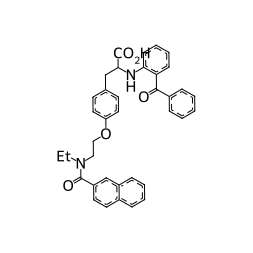 CCN(CCOc1ccc(CC(Nc2ccccc2C(=O)c2ccccc2)C(=O)O)cc1)C(=O)c1ccc2ccccc2c1